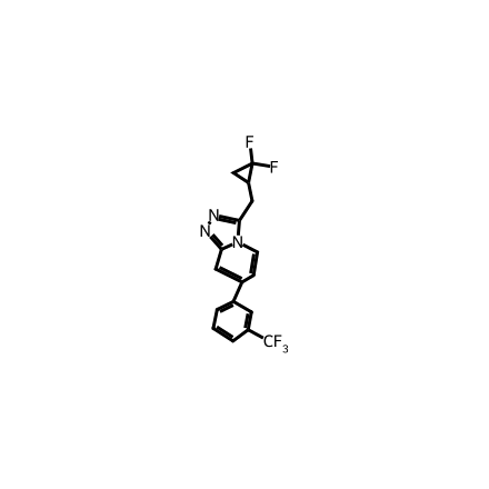 FC(F)(F)c1cccc(-c2ccn3c(CC4CC4(F)F)nnc3c2)c1